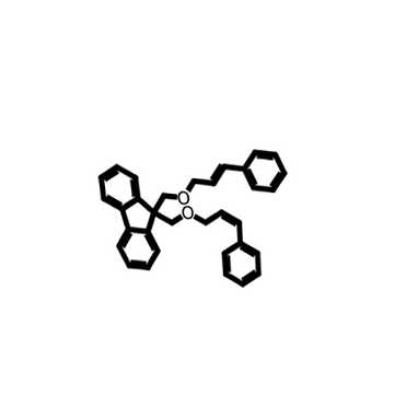 C(=Cc1ccccc1)COCC1(COCC=Cc2ccccc2)c2ccccc2-c2ccccc21